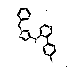 Clc1ccc(-c2cncnc2Nc2cnn(Cc3ccccc3)c2)cc1